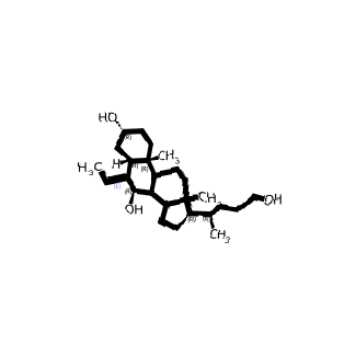 C/C=C1/[C@H](O)C2C3CC[C@H]([C@H](C)CCCO)C3(C)CCC2[C@@]2(C)CC[C@@H](O)C[C@@H]12